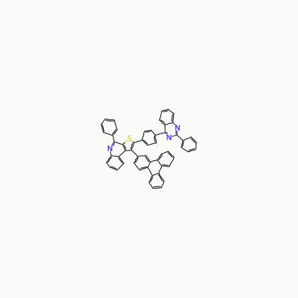 c1ccc(-c2nc(-c3ccc(-c4sc5c(-c6ccccc6)nc6ccccc6c5c4-c4ccc5c6ccccc6c6ccccc6c5c4)cc3)c3ccccc3n2)cc1